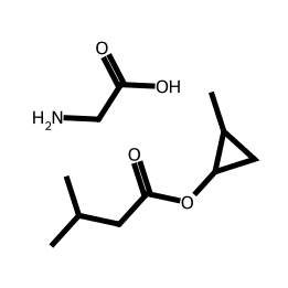 CC(C)CC(=O)OC1CC1C.NCC(=O)O